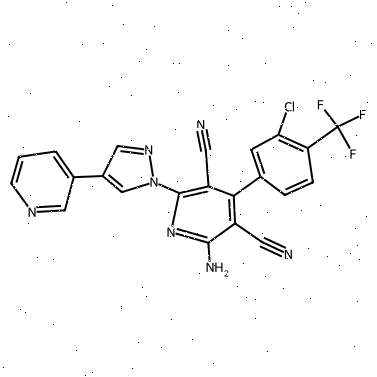 N#Cc1c(N)nc(-n2cc(-c3cccnc3)cn2)c(C#N)c1-c1ccc(C(F)(F)F)c(Cl)c1